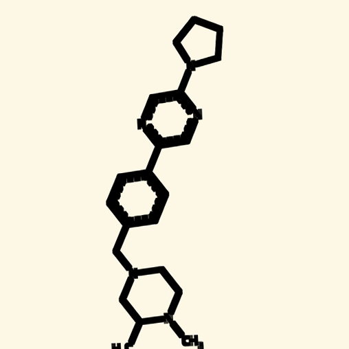 CC1CN(Cc2ccc(-c3cnc(N4CCCC4)cn3)cc2)CCN1C